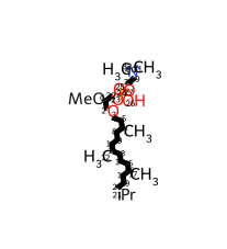 COC(COCCC(C)CCCC(C)CCCC(C)CCCC(C)C)COP(=O)(O)OCCN(C)C